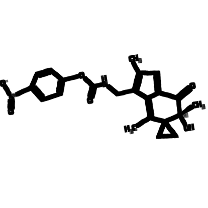 CC1=C(CNC(=O)Oc2ccc([N+](=O)[O-])cc2)C2=C(C)C3(CC3)[C@@](C)(O)C(=O)C2=C1